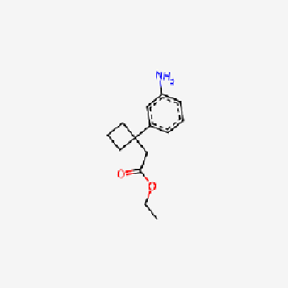 CCOC(=O)CC1(c2cccc(N)c2)CCC1